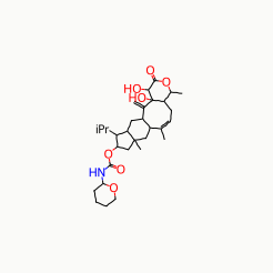 C=C1C2CC3C(C(C)C)C(OC(=O)NC4CCCCO4)CC3(C)CC2/C(C)=C\CC2C(C)OC(=O)C(O)C12O